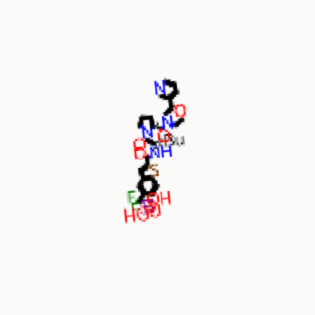 CC(C)(C)[C@H](NC(=O)c1cc2cc(C(F)(F)P(=O)(O)O)ccc2s1)C(=O)N1CCC[C@H]1C(=O)N1CCOC(c2cccnc2)C1